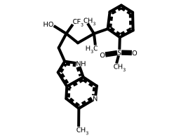 Cc1cc2cc(CC(O)(CC(C)(C)c3ccccc3S(C)(=O)=O)C(F)(F)F)[nH]c2cn1